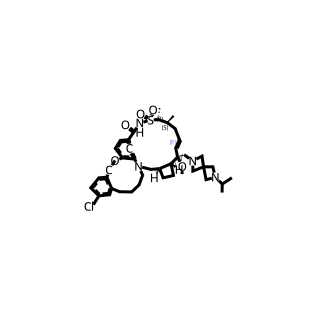 CO[C@]1(CN2CC3(C2)CN(C(C)C)C3)/C=C/C[C@H](C)[C@@H](C)S(=O)(=O)NC(=O)c2ccc3c(c2)N(CCCCc2cc(Cl)ccc2CO3)C[C@@H]2CC[C@H]21